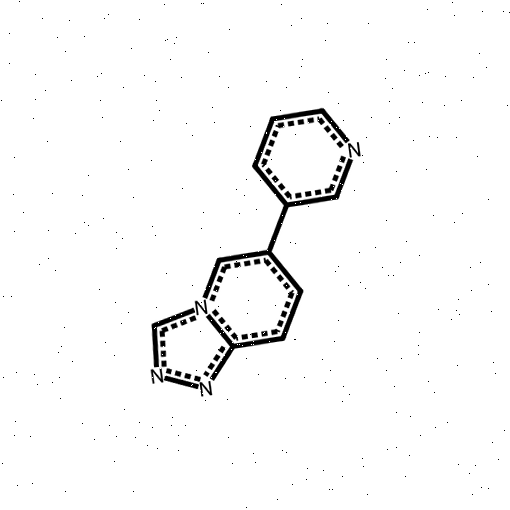 c1cncc(-c2ccc3nncn3c2)c1